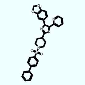 O=S(=O)(c1ccc(-c2ccccc2)cc1)N1CCC(C2=NC(c3ccc4c(c3)OCO4)C(c3ccccn3)=N2)CC1